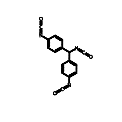 O=C=Nc1ccc(C(N=C=O)c2ccc(N=C=O)cc2)cc1